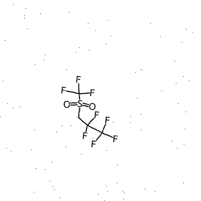 O=S(=O)(CC(F)(F)C(F)(F)F)C(F)(F)F